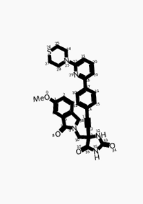 COc1ccc2c(c1)C(=O)N(CC1(C#Cc3ccc(-c4cccc(N5CCSCC5)n4)cc3)NC(=O)NC1=O)C2